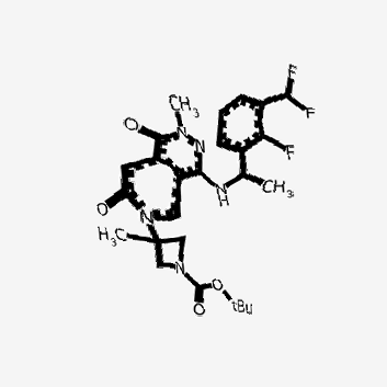 CC(Nc1nn(C)c(=O)c2cc(=O)n(C3(C)CN(C(=O)OC(C)(C)C)C3)cc12)c1cccc(C(F)F)c1F